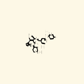 CC1(C)CNCCC1Nc1nc(-c2ccnc(Nc3ccc(F)cn3)c2)nc2cncc(C3CCC3)c12